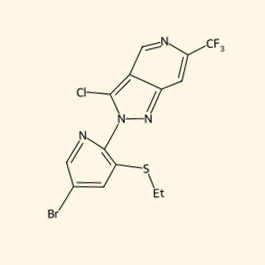 CCSc1cc(Br)cnc1-n1nc2cc(C(F)(F)F)ncc2c1Cl